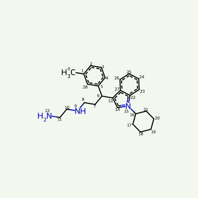 Cc1cccc(C(CCNCCN)c2cn(C3CCCCC3)c3ccccc23)c1